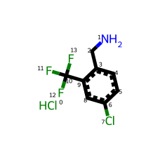 Cl.NCc1ccc(Cl)cc1C(F)(F)F